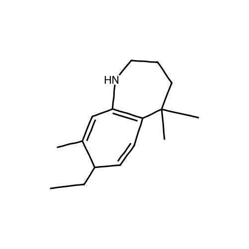 CCC1C=CC2=C(C=C1C)NCCCC2(C)C